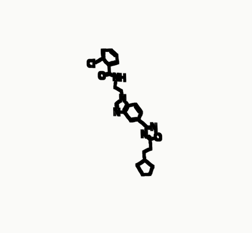 O=C(NCCn1cnc2cc(-c3noc(CCC4CCCC4)n3)ccc21)c1ccccc1Cl